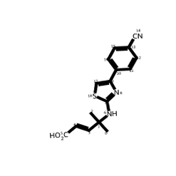 CC(C)(C=CC(=O)O)Nc1nc(-c2ccc(C#N)cc2)cs1